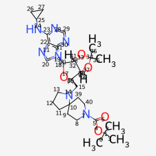 CC(C)(C)OC(=O)N1CCC2(CCCN2C[C@H]2O[C@@H](n3cnc4c(NC5CC5)ncnc43)[C@@H]3OC(C)(C)O[C@@H]32)CC1